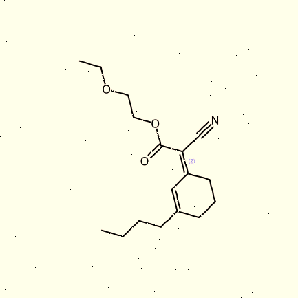 CCCCC1=C/C(=C(/C#N)C(=O)OCCOCC)CCC1